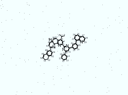 CC(C)c1cc(-c2nc(-c3ccccc3)cc(-c3cccc(-c4cccc5cccnc45)c3)n2)nc2c1C=C[C@@H]1C=CC(c3ccc4c(c3)C=CCC4)=NC21